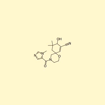 Cn1cncc1C(=O)N1CCOC2(C=C(C#N)C(O)C(C)(C)C2)C1